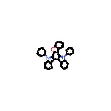 c1ccc(-n2c3ccccc3c3c4c5ccccc5n(-c5ccccc5)c4c4c5ccccc5oc4c32)cc1